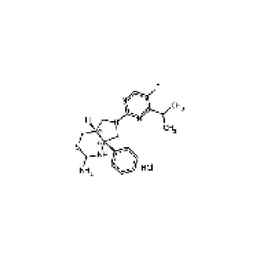 CC(C)c1nc(N2C[C@H]3CSC(N)N[C@@]3(c3ccccc3)C2)ncc1F.Cl